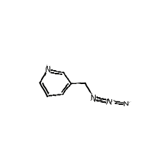 [N-]=[N+]=NCc1cccnc1